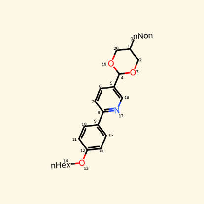 CCCCCCCCCC1COC(c2ccc(-c3ccc(OCCCCCC)cc3)nc2)OC1